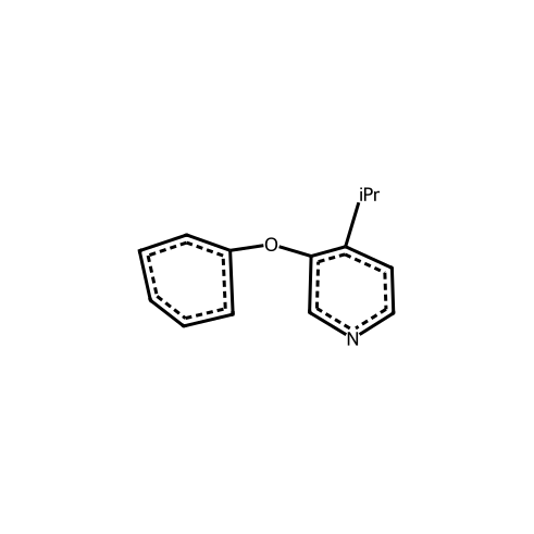 CC(C)c1ccncc1Oc1ccccc1